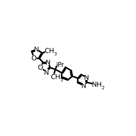 Cc1ncoc1-c1nc(C(C)(c2ccc(-c3cnc(N)nc3)cc2)C(C)C)no1